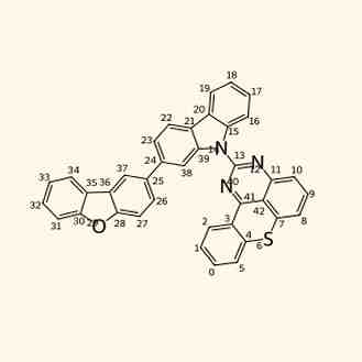 c1ccc2c(c1)Sc1cccc3nc(-n4c5ccccc5c5ccc(-c6ccc7oc8ccccc8c7c6)cc54)nc-2c13